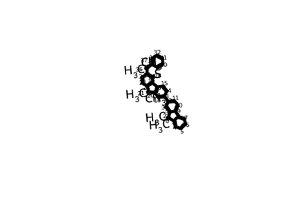 CC1(C)c2ccccc2-c2ccc(-c3ccc4c(c3)C(C)(C)c3ccc5c(c3-4)Sc3ccccc3C5(C)C)cc21